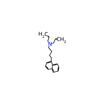 C=CCN(CC=C)CCCCc1cccc2ccccc12